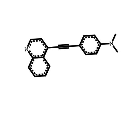 CN(C)c1ccc(C#Cc2ccnc3ccccc23)cc1